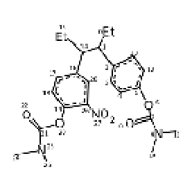 CCC(c1ccc(OC(=O)N(C)C)cc1)C(CC)c1ccc(OC(=O)N(C)C)c([N+](=O)[O-])c1